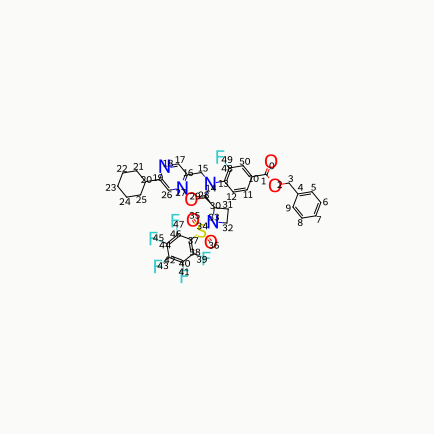 O=C(OCc1ccccc1)c1ccc(N(Cc2cnc(C3CCCCC3)cn2)C(=O)[C@H]2CCN2S(=O)(=O)c2c(F)c(F)c(F)c(F)c2F)c(F)c1